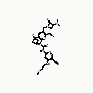 COCCNc1cc(NC(=O)N2c3nc(C=O)c(CN4CC(N(C)C)C4=O)cc3C3(F)CC2C3)ncc1C#N